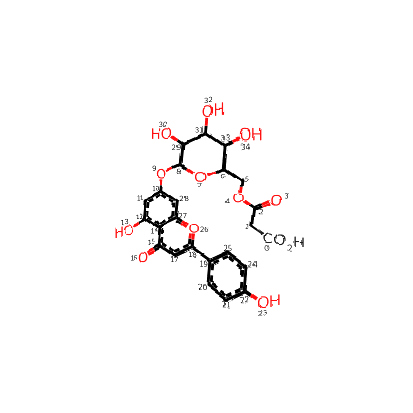 O=C(O)CC(=O)OCC1OC(Oc2cc(O)c3c(=O)cc(-c4ccc(O)cc4)oc3c2)C(O)C(O)C1O